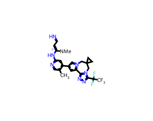 CN/C(=C\C=N)Nc1cc(-c2cc3n(c2)CC2(CC2)Cn2c-3nnc2C(F)(F)C(F)(F)F)c(C)cn1